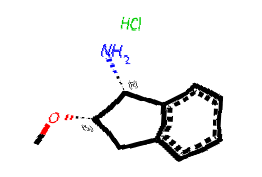 CO[C@H]1Cc2ccccc2[C@H]1N.Cl